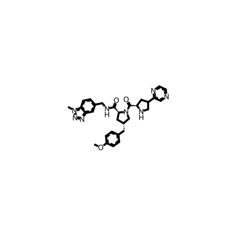 COc1ccc(C[C@@H]2C[C@@H](C(=O)NCc3ccc4c(c3)nnn4C)N(C(=O)[C@H]3CC(c4cnccn4)CN3)C2)cc1